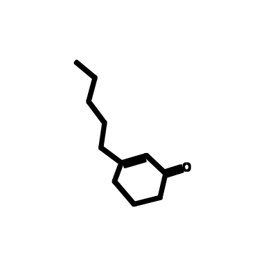 CCCCCC1=CC(=O)CCC1